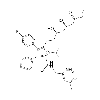 COC(=O)C[C@H](O)C[C@H](O)CCc1c(-c2ccc(F)cc2)c(-c2ccccc2)c(C(=O)NCC(N)=CC(C)=O)n1C(C)C